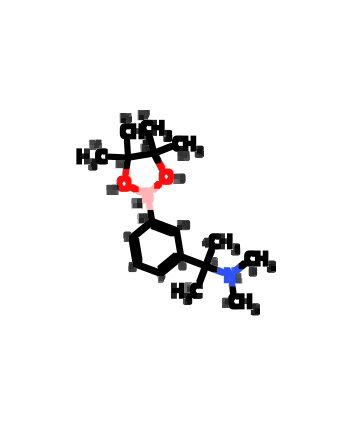 CN(C)C(C)(C)c1cccc(B2OC(C)(C)C(C)(C)O2)c1